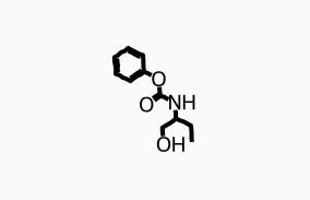 CCC(CO)NC(=O)Oc1ccccc1